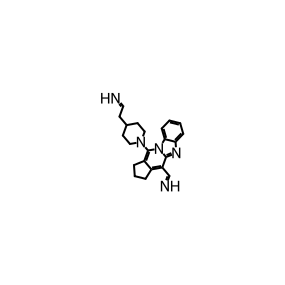 N=CCC1CCN(c2c3c(c(C=N)c4nc5ccccc5n24)CCC3)CC1